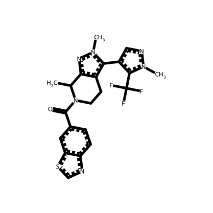 CC1c2nn(C)c(-c3cnn(C)c3C(F)(F)F)c2CCN1C(=O)c1ccc2ncsc2c1